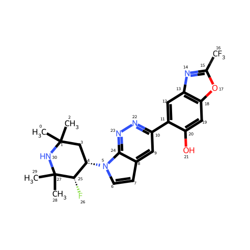 CC1(C)C[C@H](n2ccc3cc(-c4cc5nc(C(F)(F)F)oc5cc4O)nnc32)[C@H](F)C(C)(C)N1